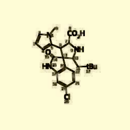 Cn1cccc1C1C(C(=O)O)NC(CC(C)(C)C)C12C(=O)Nc1cc(Cl)ccc12